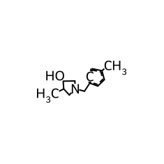 Cc1ccc(CN2CC(C)C(O)C2)cc1